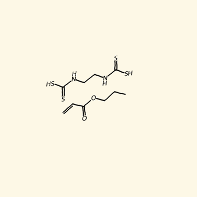 C=CC(=O)OCCC.S=C(S)NCCNC(=S)S